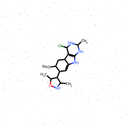 COC1CC2C(=CC1C1C(C)NOC1C)NC1=C2C(Cl)NC(C)N1